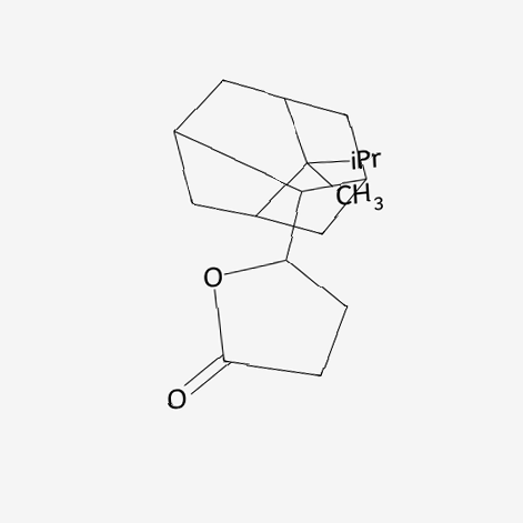 CC(C)C1(C)C2CC3CC1CC(C2)C3C1CCC(=O)O1